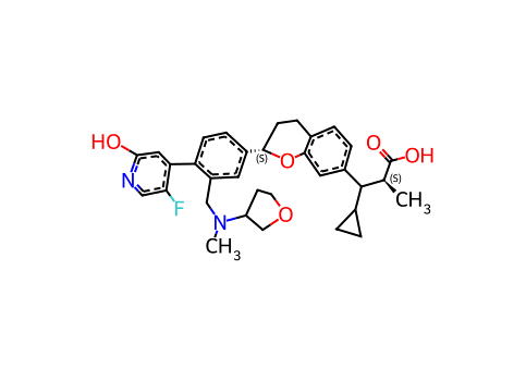 C[C@H](C(=O)O)C(c1ccc2c(c1)O[C@H](c1ccc(-c3cc(O)ncc3F)c(CN(C)C3CCOC3)c1)CC2)C1CC1